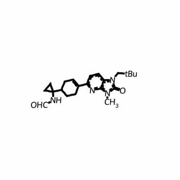 Cn1c(=O)n(CC(C)(C)C)c2ccc(C3=CCC(C4(NC=O)CC4)CC3)nc21